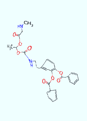 CNCC(=O)OC(C)OC(=O)NCCc1ccc(OC(=O)c2ccccc2)c(OC(=O)c2ccccc2)c1